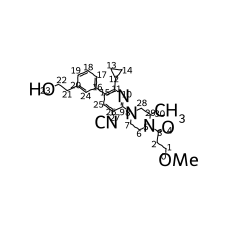 COCCC(=O)N1CCN(c2nc(C3CC3)c(-c3cccc(CCO)c3)cc2C#N)CC1C